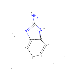 NC1=NC2=CCC=CC2=N1